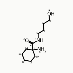 NC1(C(=O)NCCCCO)CCCCC1